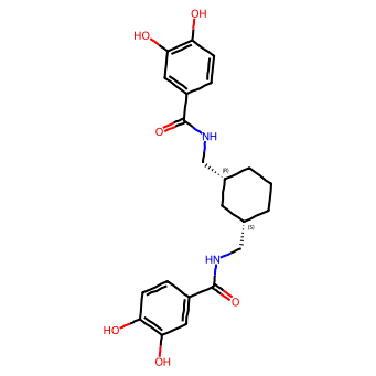 O=C(NC[C@H]1CCC[C@@H](CNC(=O)c2ccc(O)c(O)c2)C1)c1ccc(O)c(O)c1